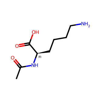 CC(=O)N[C@H](CCCCN)C(=O)O